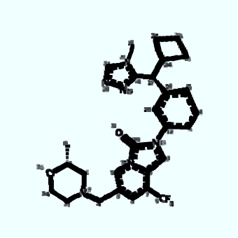 C[C@@H]1CN(Cc2cc(C(F)(F)F)c3cn(-c4cccc([C@@H](c5nncn5C)C5CCC5)c4)c(=O)n3c2)CCO1